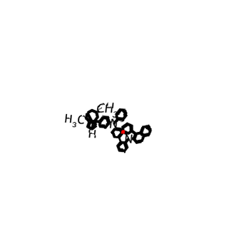 CC1C2=C[C@H]3CC1C[C@H](C)CC2(c1ccc(N(c2ccccc2)c2ccc(-c4ccccc4-n4c5ccccc5c5c6ccccc6ccc54)cc2)cc1)C3